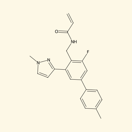 C=CC(=O)NCc1c(F)cc(-c2ccc(C)cc2)cc1-c1ccn(C)n1